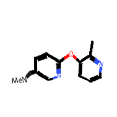 CNc1ccc(Oc2cccnc2C)nc1